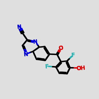 N#CC1=NC2C=C(C(=O)c3c(F)ccc(O)c3F)C=CC2N=C1